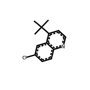 CC(C)(C)c1ccnc2ccc(Cl)cc12